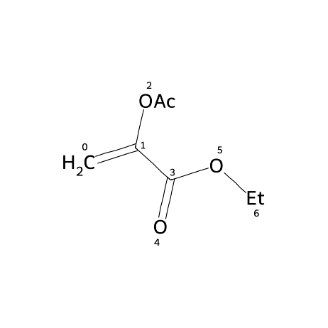 C=C(OC(C)=O)C(=O)OCC